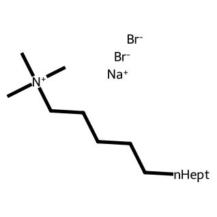 CCCCCCCCCCCC[N+](C)(C)C.[Br-].[Br-].[Na+]